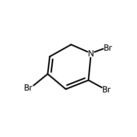 BrC1=CCN(Br)C(Br)=C1